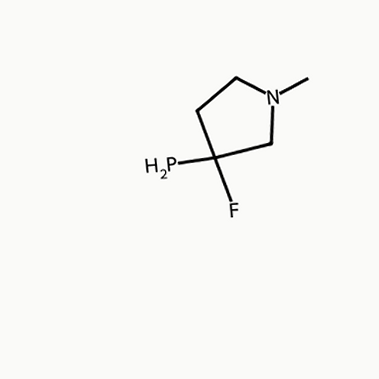 CN1CCC(F)(P)C1